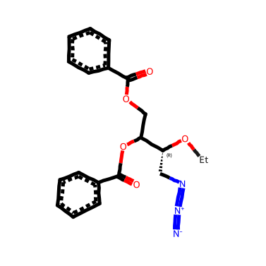 CCO[C@H](CN=[N+]=[N-])C(COC(=O)c1ccccc1)OC(=O)c1ccccc1